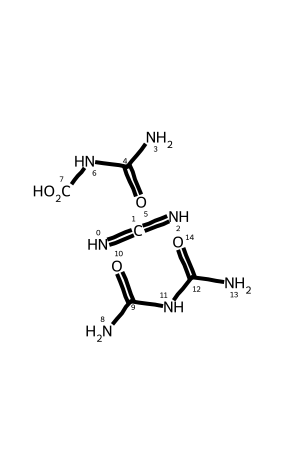 N=C=N.NC(=O)NC(=O)O.NC(=O)NC(N)=O